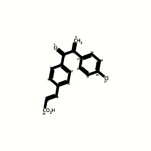 C=C(C(=O)c1ccc(C=CC(=O)O)cc1)c1ccc(Cl)cc1